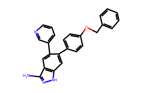 Nc1n[nH]c2cc(-c3ccc(OCc4ccccc4)cc3)c(-c3cccnc3)cc12